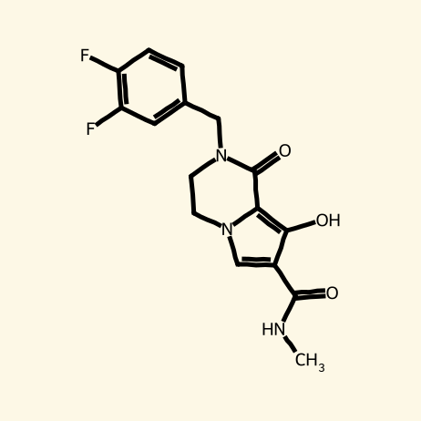 CNC(=O)c1cn2c(c1O)C(=O)N(Cc1ccc(F)c(F)c1)CC2